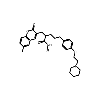 Cc1ccc2oc(=O)c(CC(CCCc3ccc(OCCN4CCCCC4)cc3)C(=O)NO)cc2c1